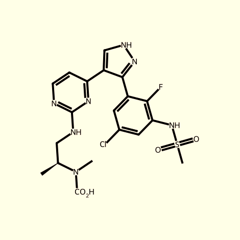 C[C@@H](CNc1nccc(-c2c[nH]nc2-c2cc(Cl)cc(NS(C)(=O)=O)c2F)n1)N(C)C(=O)O